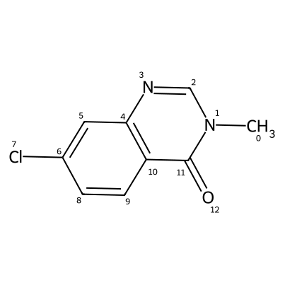 Cn1cnc2cc(Cl)ccc2c1=O